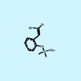 CC(C)(C)[Si](C)(C)Oc1ccccc1C=C(Br)Br